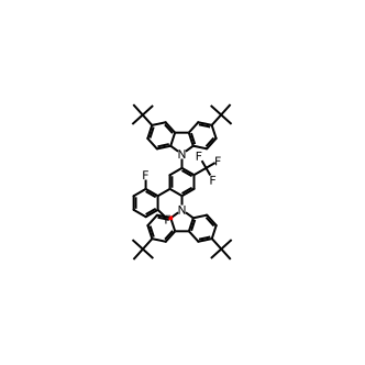 CC(C)(C)c1ccc2c(c1)c1cc(C(C)(C)C)ccc1n2-c1cc(C(F)(F)F)c(-n2c3ccc(C(C)(C)C)cc3c3cc(C(C)(C)C)ccc32)cc1-c1c(F)cccc1F